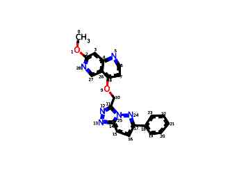 COc1cc2nccc(OCc3nnc4ccc(-c5ccccc5)nn34)c2cn1